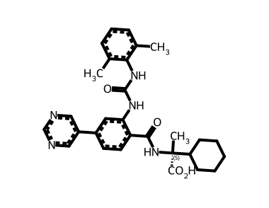 Cc1cccc(C)c1NC(=O)Nc1cc(-c2cncnc2)ccc1C(=O)N[C@](C)(C(=O)O)C1CCCCC1